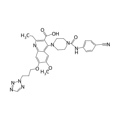 CCc1nc2cc(OCCCn3ncnn3)c(OC)cc2c(N2CCN(C(=O)Nc3ccc(C#N)cc3)CC2)c1C(=O)O